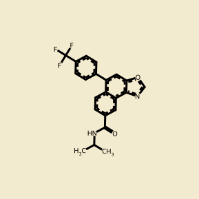 CC(C)NC(=O)c1ccc2c(-c3ccc(C(F)(F)F)cc3)cc3ocnc3c2c1